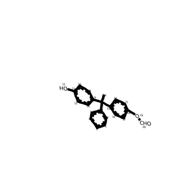 CC(c1ccccc1)(c1ccc(O)cc1)c1ccc(OC=O)cc1